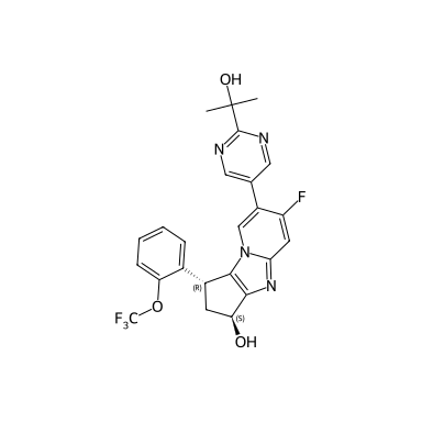 CC(C)(O)c1ncc(-c2cn3c4c(nc3cc2F)[C@@H](O)C[C@@H]4c2ccccc2OC(F)(F)F)cn1